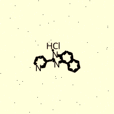 Cl.Cn1c(-c2cccnc2)nc2c3ccccc3ccc21